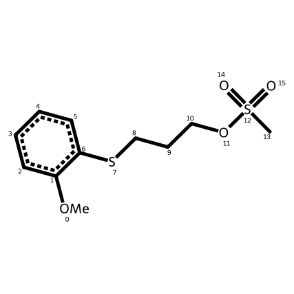 COc1ccccc1SCCCOS(C)(=O)=O